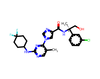 Cc1cnc(NC2CCC(F)(F)CC2)nc1-n1cnc(C(=O)N[C@@](C)(CO)c2cccc(Cl)c2)c1